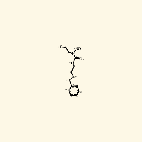 O=NN(CCCl)C(=O)OCCSSc1ccccn1